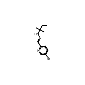 CCC(C)(C)N/N=C/c1ccc(Br)cn1